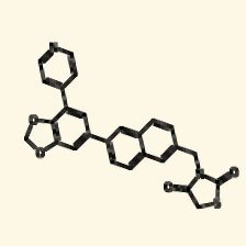 O=C1CSC(=O)N1Cc1ccc2cc(-c3cc4c(c(-c5ccncc5)c3)OCO4)ccc2c1